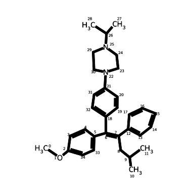 COc1ccc(/C(=C(\CC(C)C)c2ccccc2)c2ccc(N3CCN(C(C)C)CC3)cc2)cc1